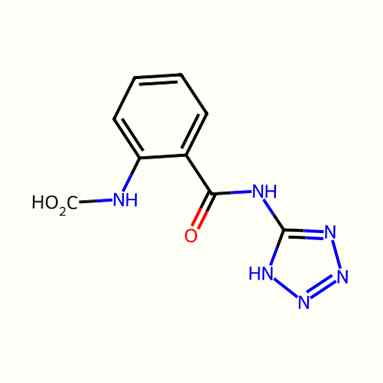 O=C(O)Nc1ccccc1C(=O)Nc1nnn[nH]1